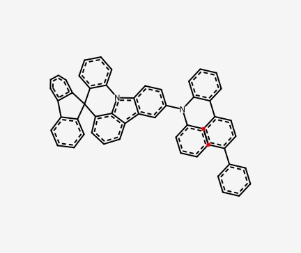 c1ccc(-c2ccc(-c3ccccc3N(c3ccccc3)c3ccc4c(c3)c3cccc5c3n4-c3ccccc3C53c4ccccc4-c4ccccc43)cc2)cc1